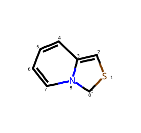 [C]1SC=C2C=CC=CN12